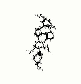 COc1cccc(OC)c1-n1c(NSC(C)C(OC)c2ncc(C)cn2)nnc1-c1cncc(C)c1